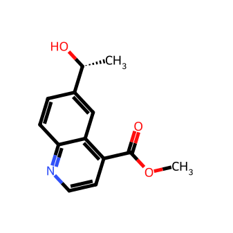 COC(=O)c1ccnc2ccc([C@@H](C)O)cc12